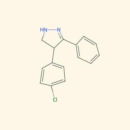 Clc1ccc(C2CNN=C2c2ccccc2)cc1